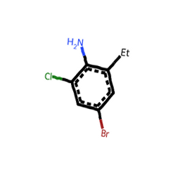 CCc1cc(Br)cc(Cl)c1N